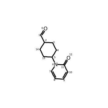 O=CC1CCC(n2ccccc2=O)CC1